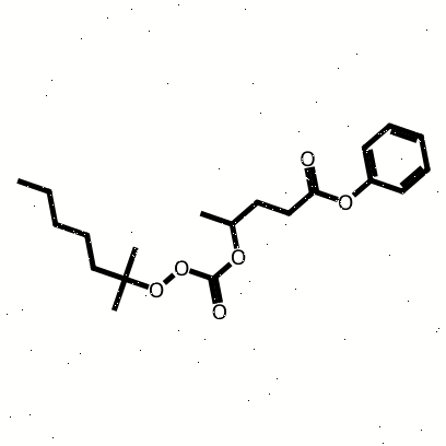 CCCCCC(C)(C)OOC(=O)OC(C)CCC(=O)Oc1ccccc1